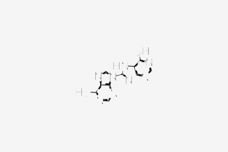 Sc1ncnc2c1NC(n1cnc3c(S)ncnc31)=[N+]2